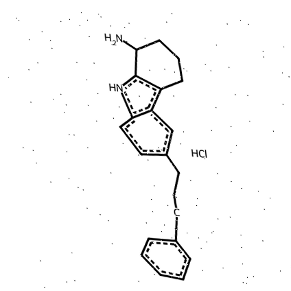 Cl.NC1CCCc2c1[nH]c1ccc(CCCc3ccccc3)cc21